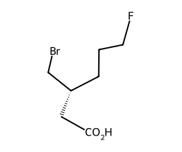 O=C(O)C[C@H](CBr)CCCF